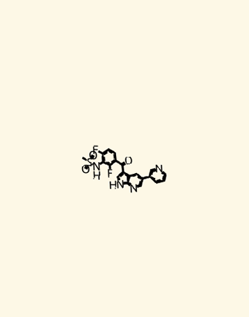 CS(=O)(=O)Nc1c(F)ccc(C(=O)c2c[nH]c3ncc(-c4cccnc4)cc23)c1F